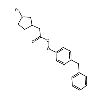 CCN1CCC(CC(=O)OOc2ccc(Cc3ccccc3)cc2)C1